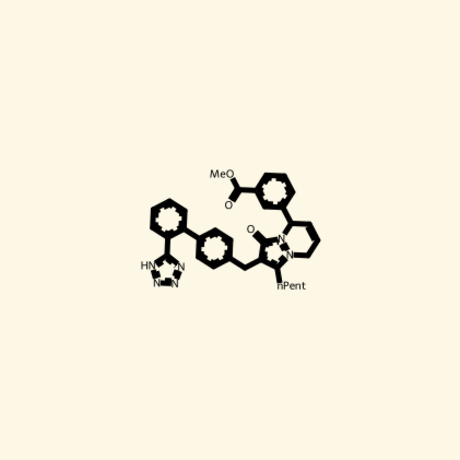 CCCCCc1c(Cc2ccc(-c3ccccc3-c3nnn[nH]3)cc2)c(=O)n2n1CC=CC2c1cccc(C(=O)OC)c1